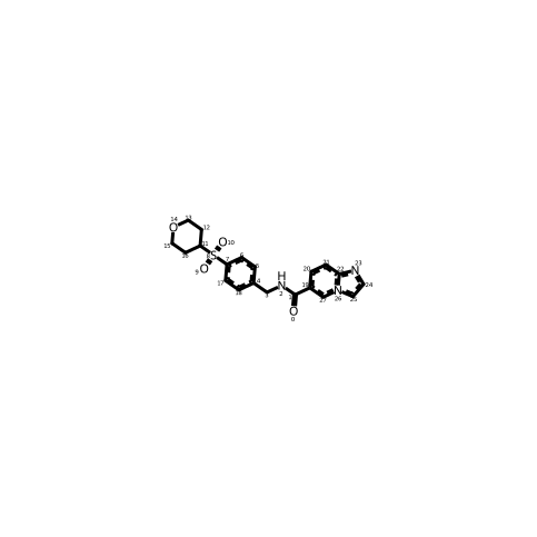 O=C(NCc1ccc(S(=O)(=O)C2CCOCC2)cc1)c1ccc2nccn2c1